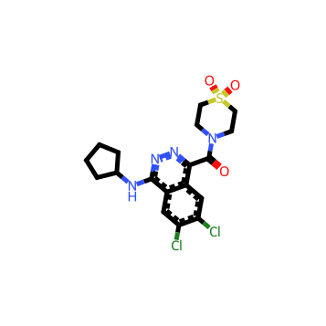 O=C(c1nnc(NC2CCCC2)c2cc(Cl)c(Cl)cc12)N1CCS(=O)(=O)CC1